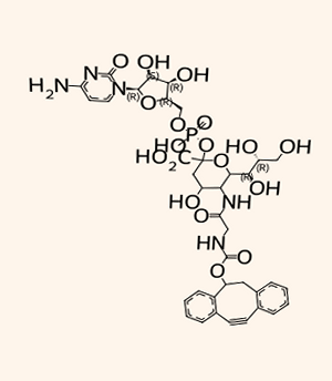 Nc1ccn([C@@H]2O[C@H](COP(=O)(O)OC3(C(=O)O)CC(O)C(NC(=O)CNC(=O)OC4Cc5ccccc5C#Cc5ccccc54)C([C@H](O)[C@H](O)CO)O3)[C@H](O)[C@@H]2O)c(=O)n1